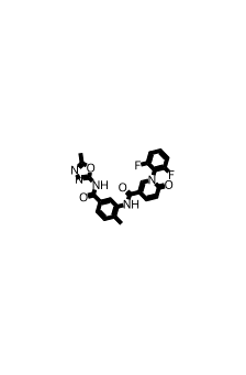 Cc1nnc(NC(=O)c2ccc(C)c(NC(=O)c3ccc(=O)n(-c4c(F)cccc4F)c3)c2)o1